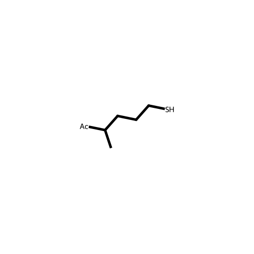 CC(=O)C(C)CCCS